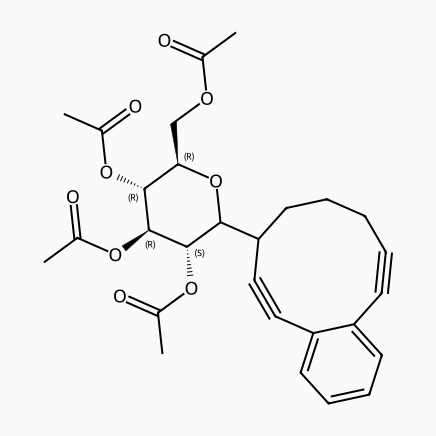 CC(=O)OC[C@H]1OC(C2C#Cc3ccccc3C#CCCC2)[C@H](OC(C)=O)[C@@H](OC(C)=O)[C@@H]1OC(C)=O